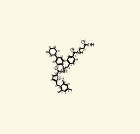 Cc1cc(C)c(Cc2ccc(C(=O)NN(Cc3ccc(C(=O)NCCC(=O)O)cc3)c3ccc(C4CCCCC4)cc3)o2)c(C)c1